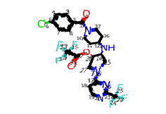 O=C(c1ccc(Cl)cc1)N1CCC(N[C@H]2CN(c3ccnc(C(F)(F)F)n3)C[C@@H]2OC(=O)C(F)(F)F)CC1